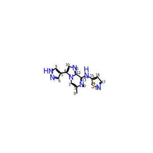 Cc1cn2c(-c3cn[nH]c3)cnc2c(Nc2ccns2)n1